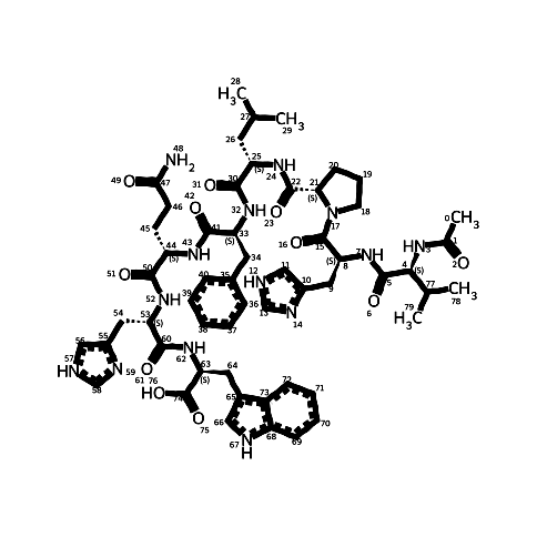 CC(=O)N[C@H](C(=O)N[C@@H](Cc1c[nH]cn1)C(=O)N1CCC[C@H]1C(=O)N[C@@H](CC(C)C)C(=O)N[C@@H](Cc1ccccc1)C(=O)N[C@@H](CCC(N)=O)C(=O)N[C@@H](Cc1c[nH]cn1)C(=O)N[C@@H](Cc1c[nH]c2ccccc12)C(=O)O)C(C)C